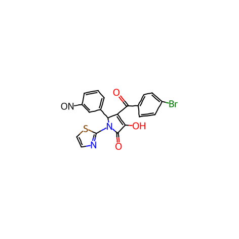 O=Nc1cccc(C2C(C(=O)c3ccc(Br)cc3)=C(O)C(=O)N2c2nccs2)c1